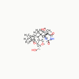 Cc1cn([C@@H]2O[C@H](CO)C(O[Si](C)(C)C(C)(C)C)C2CC(C)(C)[Si](C)(C)O)c(=O)[nH]c1=O